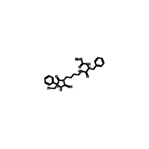 COC(=O)N[C@@H](Cc1ccccc1)C(=O)NCCCCN1C(=N)N[C@](CC(C)C)(c2ccccc2)C1=O